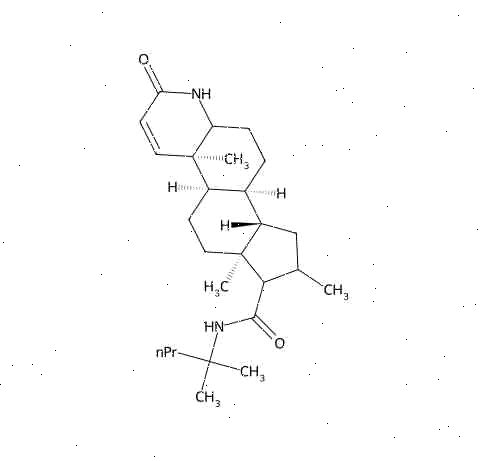 CCCC(C)(C)NC(=O)C1C(C)C[C@H]2[C@@H]3CCC4NC(=O)C=C[C@]4(C)[C@@H]3CC[C@]12C